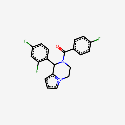 O=C(c1ccc(F)cc1)N1CCn2cccc2C1c1ccc(F)cc1F